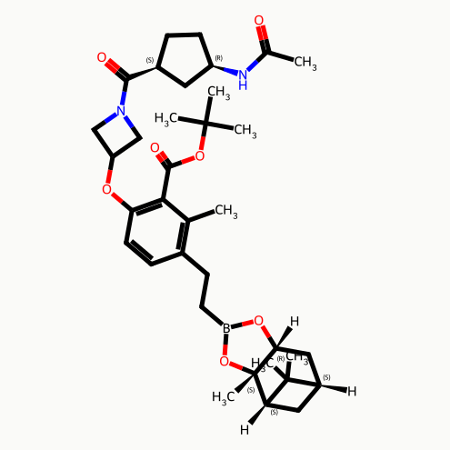 CC(=O)N[C@@H]1CC[C@H](C(=O)N2CC(Oc3ccc(CCB4O[C@@H]5C[C@@H]6C[C@@H](C6(C)C)[C@]5(C)O4)c(C)c3C(=O)OC(C)(C)C)C2)C1